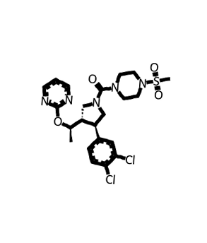 C[C@@H](Oc1ncccn1)[C@@H]1CN(C(=O)N2CCN(S(C)(=O)=O)CC2)C[C@H]1c1ccc(Cl)c(Cl)c1